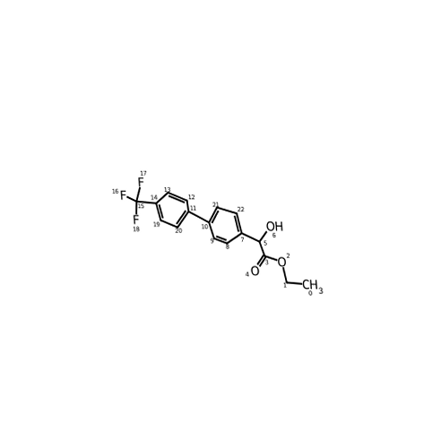 CCOC(=O)C(O)c1ccc(-c2ccc(C(F)(F)F)cc2)cc1